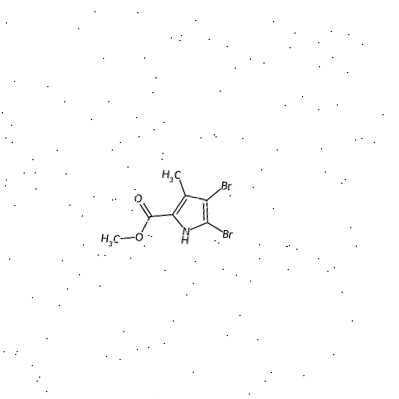 COC(=O)c1[nH]c(Br)c(Br)c1C